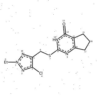 CCn1nc(Cl)c(CSc2nc3c(c(=O)[nH]2)CCC3)n1